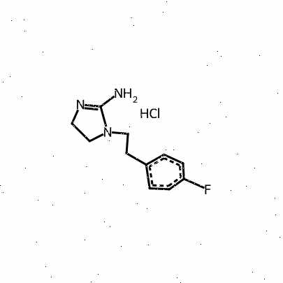 Cl.NC1=NCCN1CCc1ccc(F)cc1